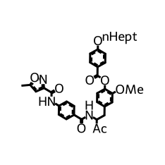 CCCCCCCOc1ccc(C(=O)Oc2ccc(CC(NC(=O)c3ccc(NC(=O)c4cc(C)on4)cc3)C(C)=O)cc2OC)cc1